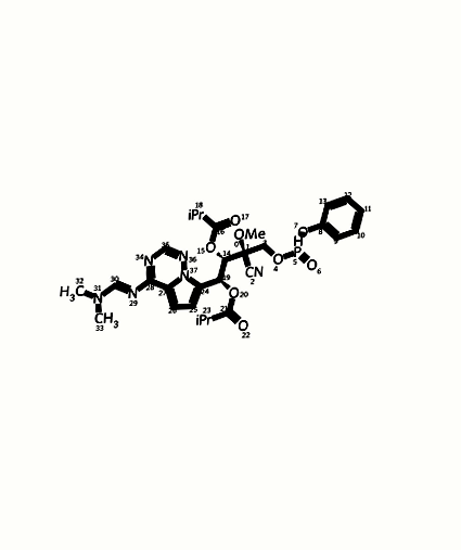 CO[C@](C#N)(CO[PH](=O)Oc1ccccc1)[C@@H](OC(=O)C(C)C)[C@@H](OC(=O)C(C)C)c1ccc2c(/N=C/N(C)C)ncnn12